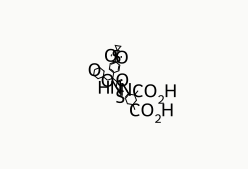 O=C(O)C1Cc2sc(NC(=O)C(OC3CCOCC3)c3ccc(S(=O)(=O)C4CC4)cc3)nc2C(C(=O)O)C1